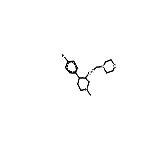 CN1CCC(c2ccc(F)cc2)C(C[CH]CN2CCOCC2)C1